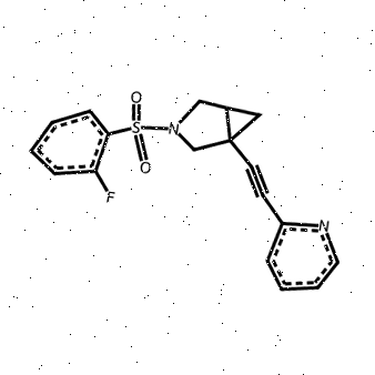 O=S(=O)(c1ccccc1F)N1CC2CC2(C#Cc2ccccn2)C1